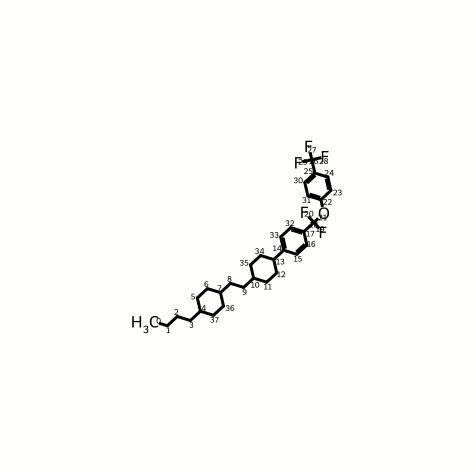 CCCCC1CCC(CCC2CCC(c3ccc(C(F)(F)Oc4ccc(C(F)(F)F)cc4)cc3)CC2)CC1